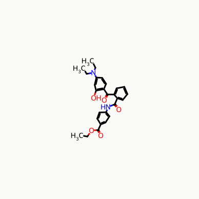 CCOC(=O)c1ccc(NC(=O)c2ccccc2C(=O)c2ccc(N(CC)CC)cc2O)cc1